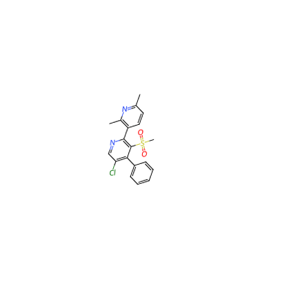 Cc1ccc(-c2ncc(Cl)c(-c3ccccc3)c2S(C)(=O)=O)c(C)n1